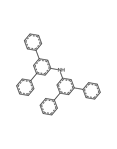 c1ccc(-c2cc(Nc3cc(-c4ccccc4)cc(-c4ccccc4)c3)cc(-c3ccccc3)c2)cc1